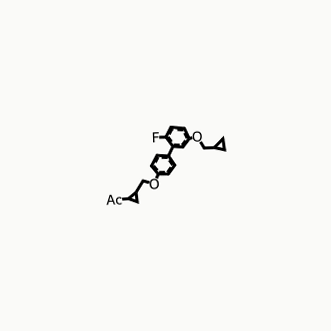 CC(=O)C1CC1COc1ccc(-c2cc(OCC3CC3)ccc2F)cc1